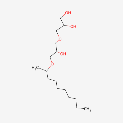 CCCCCCCCC(C)OCC(O)COCC(O)CO